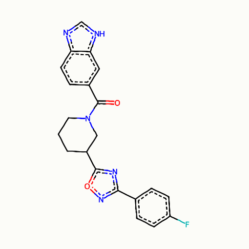 O=C(c1ccc2nc[nH]c2c1)N1CCCC(c2nc(-c3ccc(F)cc3)no2)C1